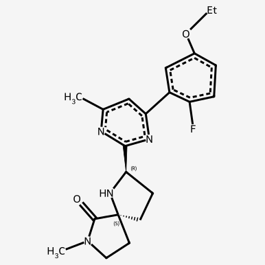 CCOc1ccc(F)c(-c2cc(C)nc([C@H]3CC[C@@]4(CCN(C)C4=O)N3)n2)c1